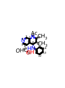 CC(=O)N1c2cnccc2[C@H](Nc2ccccc2)[C@@H](C)[C@@H]1C.O=CO